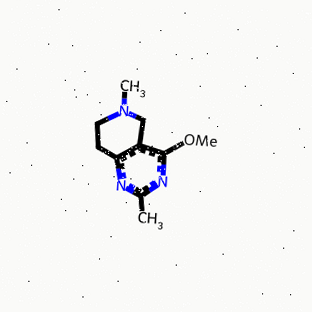 COc1nc(C)nc2c1CN(C)CC2